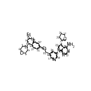 CCc1cc(N2CCOCC2)c2ccc(OCc3cncc(-n4cc([C@@H]5CCCO5)c5c(N)ncnc54)c3)cc2n1